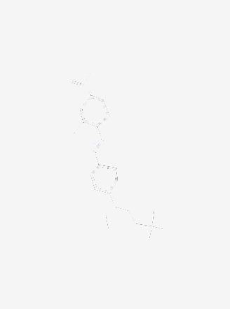 CCN(CC[N+](C)(C)C)c1ccc(/N=N/c2ccc([N+](=O)[O-])cc2Cl)cc1